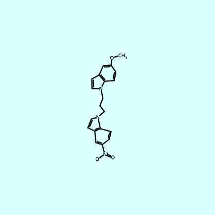 COc1ccc2c(ccn2CCCn2ccc3cc([N+](=O)[O-])ccc32)c1